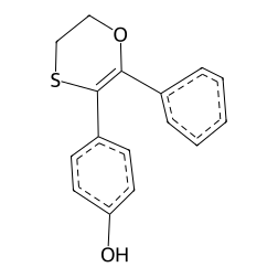 Oc1ccc(C2=C(c3ccccc3)OCCS2)cc1